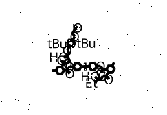 CCC(O)COC(=O)C1CCC(C)CC1C(=O)OC1CCC(C(C)(C)C2CCC(OC(=O)C3CCC(C)CC3C(=O)OCC(O)COc3cc(C(C)(C)C)c(OCC4CO4)cc3C(C)(C)C)CC2)CC1